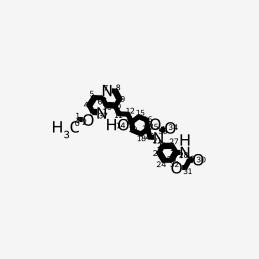 CCOc1ccc2nccc(CCC3(O)CCC4(CC3)CN(c3ccc5c(c3)NC(=O)CO5)C(=O)O4)c2n1